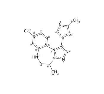 Cc1ncc(-c2nnc3n2-c2ccc(Cl)cc2NCC3C)s1